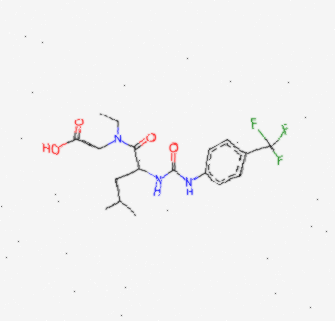 CCN(CC(=O)O)C(=O)C(CC(C)C)NC(=O)Nc1ccc(C(F)(F)F)cc1